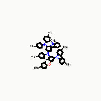 Cn1c2ccccc2c2cc(N3c4ccc(C(C)(C)C)cc4B4c5cc(C(C)(C)C)ccc5Oc5cc(-n6c7ccc(C(C)(C)C)cc7c7cc(C(C)(C)C)ccc76)cc3c54)cc(N(c3ccc(C(C)(C)C)cc3)c3ccc(C(C)(C)C)cc3)c21